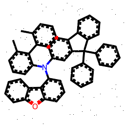 Cc1ccccc1-c1c(C)cccc1N(c1ccc2c(c1)C(c1ccccc1)(c1ccccc1)c1ccccc1-2)c1cccc2oc3ccccc3c12